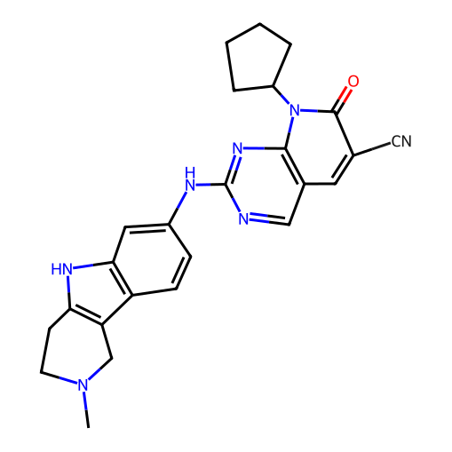 CN1CCc2[nH]c3cc(Nc4ncc5cc(C#N)c(=O)n(C6CCCC6)c5n4)ccc3c2C1